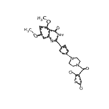 COc1cc(OC)c2c(=O)[nH]c(-c3ccc(N4CCN(C(=O)c5cc(Cl)sc5Cl)CC4)cc3)nc2c1